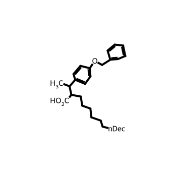 CCCCCCCCCCCCCCCCC(C(=O)O)C(C)c1ccc(OCc2ccccc2)cc1